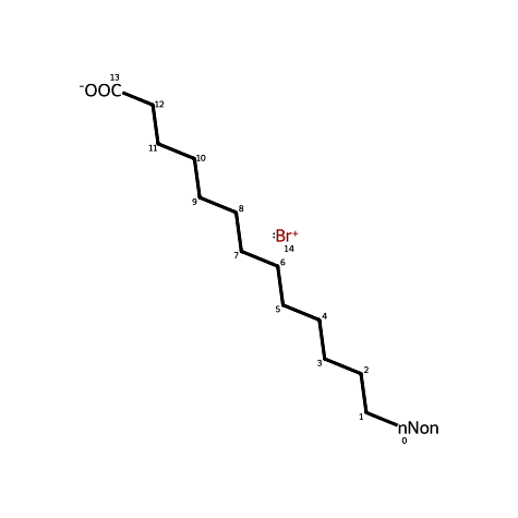 CCCCCCCCCCCCCCCCCCCCCC(=O)[O-].[Br+]